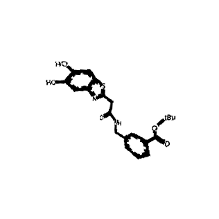 CC(C)(C)OC(=O)c1cccc(CNC(=O)Cc2nc3cc(O)c(O)cc3s2)c1